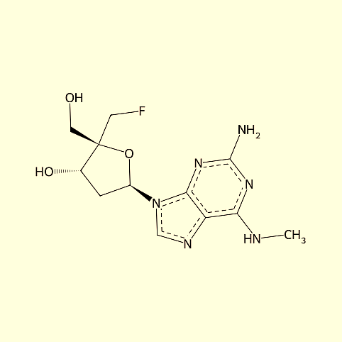 CNc1nc(N)nc2c1ncn2[C@H]1C[C@H](O)[C@](CO)(CF)O1